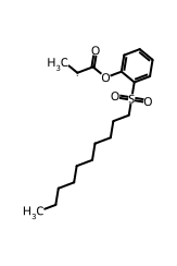 C[CH]C(=O)Oc1ccccc1S(=O)(=O)CCCCCCCCCC